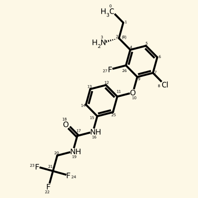 CC[C@@H](N)c1ccc(Cl)c(Oc2cccc(NC(=O)NCC(F)(F)F)c2)c1F